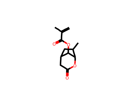 C=C(C)C(=O)OC1C2CC(=O)OC1C(C)C2